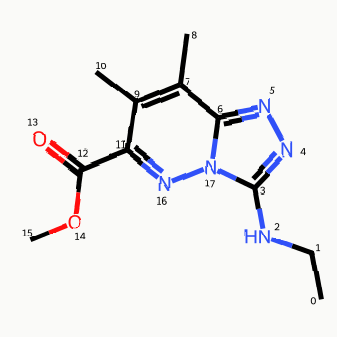 CCNc1nnc2c(C)c(C)c(C(=O)OC)nn12